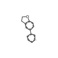 [c]1cccc(-c2ccc3c(c2)CCO3)c1